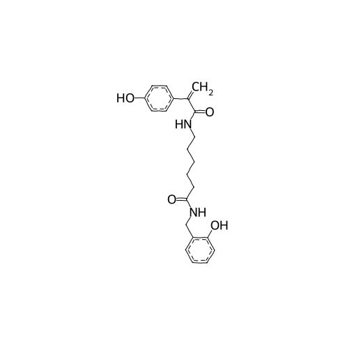 C=C(C(=O)NCCCCCC(=O)NCc1ccccc1O)c1ccc(O)cc1